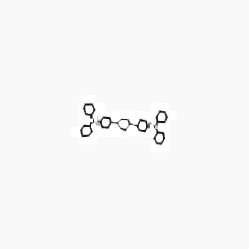 C1=CC(c2ccc(N(c3ccccc3)c3ccccc3)cc2)CC=C1c1ccc(N(c2ccccc2)c2ccccc2)cc1